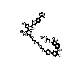 CNC(=O)COc1cc2cc(Nc3nc(N4CCC(OCCOCCOCCOCC(=O)N[C@H](C(=O)N5C[C@H](O)C[C@H]5C(=O)NCc5ccc(-c6scnc6C)cc5)C(C)(C)C)CC4)ncc3Cl)ccc2n(C)c1=O